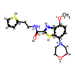 COc1ccc(N2CCOCC2)c2sc(C(=O)NCCc3cccs3)nc12